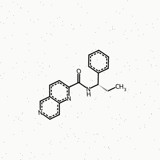 CC[C@H](NC(=O)c1ccc2cnccc2n1)c1ccccc1